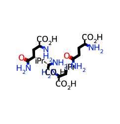 CC(C)C[C@H](N)C(=O)O.CC(C)[C@H](N)C(=O)O.NC(=O)CC[C@H](N)C(=O)O.NC(=O)CC[C@H](N)C(=O)O